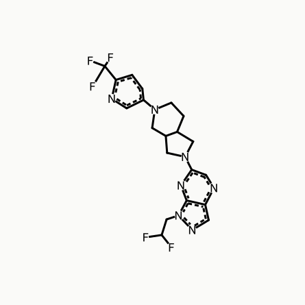 FC(F)Cn1ncc2ncc(N3CC4CCN(c5ccc(C(F)(F)F)nc5)CC4C3)nc21